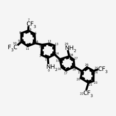 Nc1cc(-c2cc(C(F)(F)F)cc(C(F)(F)F)c2)ccc1-c1ccc(-c2cc(C(F)(F)F)cc(C(F)(F)F)c2)cc1N